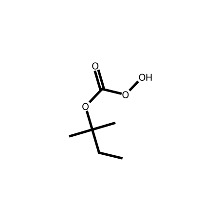 CCC(C)(C)OC(=O)OO